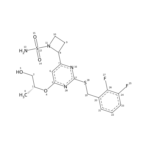 C[C@H](CO)Oc1cc(C2CCN2S(N)(=O)=O)nc(SCc2cccc(F)c2F)n1